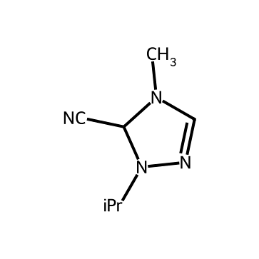 CC(C)N1N=CN(C)C1C#N